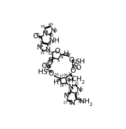 C=C1OP(=O)(S)OC[C@@H]2C[C@@H](OP(=O)(S)OC[C@H]3C[C@@H](n4cnc5c(N)ncnc54)[C@H]13)[C@H](n1cnc3c(=O)n4ccnc4[nH]c31)O2